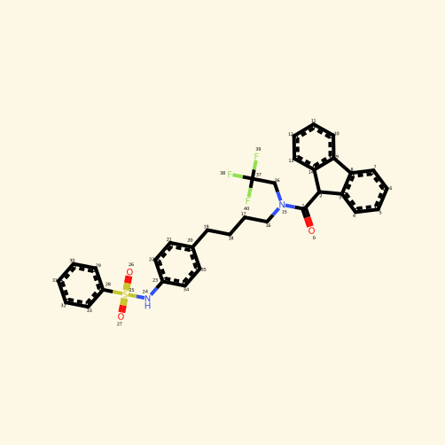 O=C(C1c2ccccc2-c2ccccc21)N(CCCCc1ccc(NS(=O)(=O)c2ccccc2)cc1)CC(F)(F)F